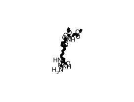 CCOC(=O)CC[C@H](NC(=O)c1ccc(CCCCc2cc3c(=O)[nH]c(N)nc3[nH]2)o1)C(=O)OCC